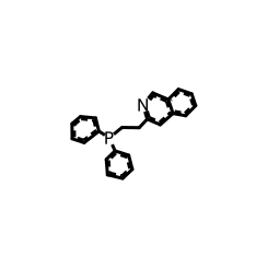 c1ccc(P(CCc2cc3ccccc3cn2)c2ccccc2)cc1